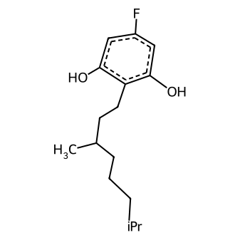 CC(C)CCCC(C)CCc1c(O)cc(F)cc1O